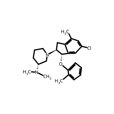 Cc1ccccc1O[C@H]1c2cc(Cl)cc(C)c2C[C@@H]1N1CCC[C@@H](N(C)C)C1